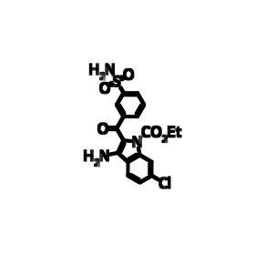 CCOC(=O)n1c(C(=O)c2cccc(S(N)(=O)=O)c2)c(N)c2ccc(Cl)cc21